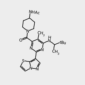 CC(=O)NC1CCN(C(=O)c2nc(-c3cnn4ccsc34)nc(NC(C)C(C)(C)C)c2C)CC1